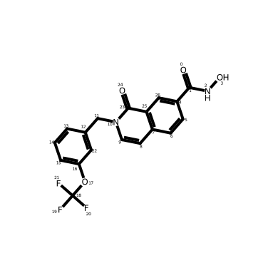 O=C(NO)c1ccc2ccn(Cc3cccc(OC(F)(F)F)c3)c(=O)c2c1